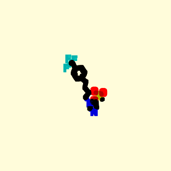 CS(=O)(=O)OC(CCc1ccc(C(F)(F)F)cc1)Cn1ccnc1